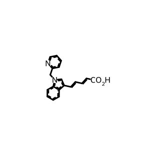 O=C(O)C=CC=Cc1cn(Cc2ccccn2)c2ccccc12